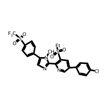 CCS(=O)(=O)c1cc(-c2ccc(Cl)cc2)cnc1-c1ncc(-c2ccc(S(=O)(=O)C(F)(F)F)cc2)n1C